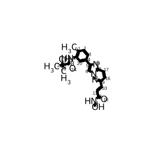 Cc1ccc(-c2cn3nc(C=CC(=O)NO)ccc3n2)cc1NC(=O)C(C)(C)C